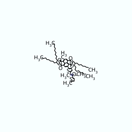 CCCCCCCCCCC(CCCCCCCC)CN1C(=O)c2cc(-c3ccc(/C(C)=C(\OCC)c4ccc(C)s4)s3)c3c4c(cc(C)c(c24)C1=O)C(=O)N(CC(CCCCCCCC)CCCCCCCCCC)C3=O